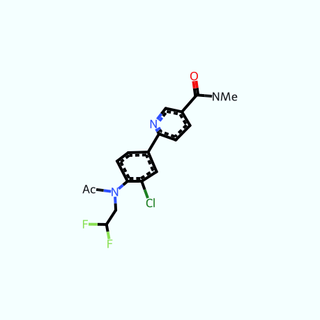 CNC(=O)c1ccc(-c2ccc(N(CC(F)F)C(C)=O)c(Cl)c2)nc1